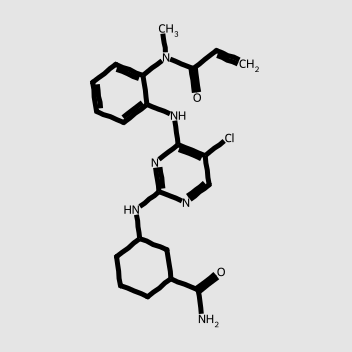 C=CC(=O)N(C)c1ccccc1Nc1nc(NC2CCCC(C(N)=O)C2)ncc1Cl